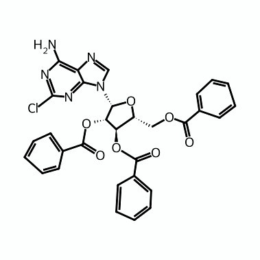 Nc1nc(Cl)nc2c1ncn2[C@@H]1O[C@H](COC(=O)c2ccccc2)[C@@H](OC(=O)c2ccccc2)[C@@H]1OC(=O)c1ccccc1